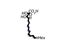 CCCCCC/C=C/C=C\C=C\C=C\CCCC(O)C(O)(O)C(=O)O